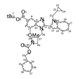 COc1cc(C(=O)OC(C)(C)C)cc2nc(-c3cc4ccccc4n3CC3CC3)n(CC3CN(C(=O)OCc4ccccc4)C3)c12